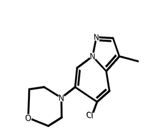 Cc1cnn2cc(N3CCOCC3)c(Cl)cc12